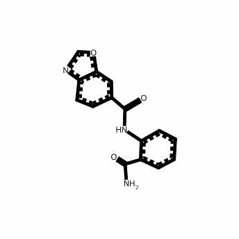 NC(=O)c1ccccc1NC(=O)c1ccc2ncoc2c1